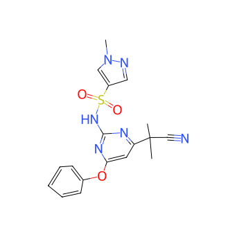 Cn1cc(S(=O)(=O)Nc2nc(Oc3ccccc3)cc(C(C)(C)C#N)n2)cn1